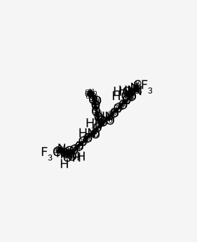 O=C(CCOCC(COCCC(=O)NCCOCCOCCOCCOC[C@H]1OC[C@H](Nc2cncc(C(F)(F)F)n2)[C@@H](O)[C@H]1O)NC(=O)COCCOCCOCC(=O)OCc1ccccc1)NCCOCCOCCOCCOC[C@H]1OC[C@H](Nc2cncc(C(F)(F)F)n2)[C@@H](O)[C@H]1O